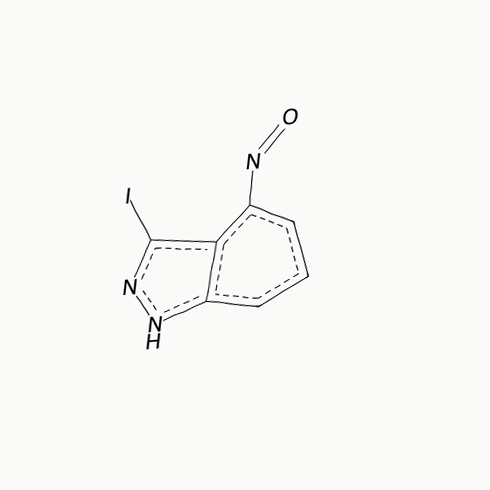 O=Nc1cccc2[nH]nc(I)c12